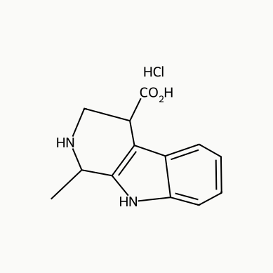 CC1NCC(C(=O)O)c2c1[nH]c1ccccc21.Cl